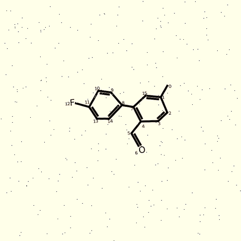 Cc1ccc(C=O)c(-c2ccc(F)cc2)c1